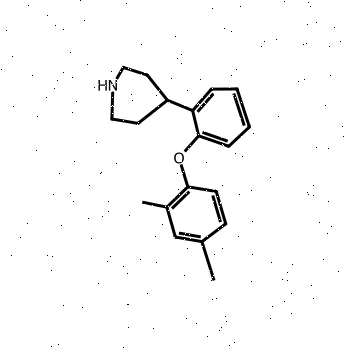 Cc1ccc(Oc2ccccc2C2CCNCC2)c(C)c1